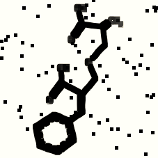 C=C(COC/C(=C/c1ccccc1)C(=O)O)C(=O)O